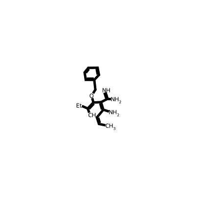 C\C=C/C(N)=C(C(=N)N)\C(OCc1ccccc1)=C(/C)CC